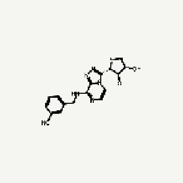 N#Cc1cccc(CNc2nccn3c([C@@H]4SC[C@@H](O)[C@H]4O)nnc23)c1